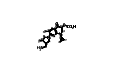 NCC1CN(c2nc3c(cc2F)c(=O)c(OC(=O)O)cn3C2CC2)CC1F